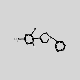 Nc1cc(F)c(C2=CCN(Cc3ccccc3)CC2)c(F)c1